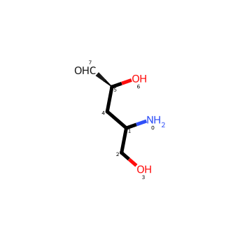 NC(CO)C[C@H](O)C=O